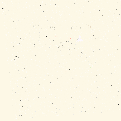 CC1(C)C(C(=O)OC(C#N)c2cccc(Oc3ccccc3)c2)C1(C)C.CCOCn1c(-c2ccc(Cl)cc2)c(C#N)c(Br)c1C(F)(F)F